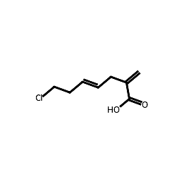 C=C(CC=CCCCl)C(=O)O